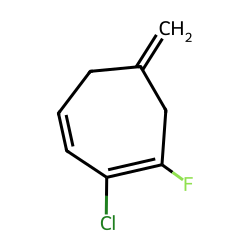 C=C1CC=CC(Cl)=C(F)C1